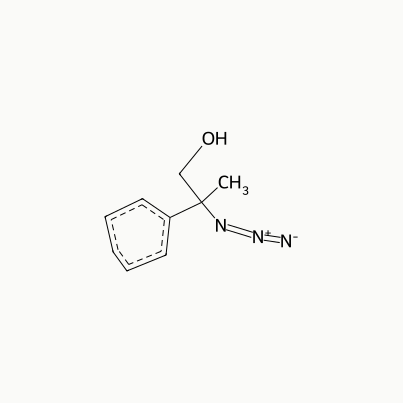 CC(CO)(N=[N+]=[N-])c1ccccc1